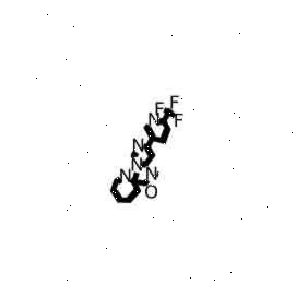 CN(C(=O)C1(C)C=CC=CC=N1)c1cc(-c2ccc(C(F)(F)F)nc2)ncn1